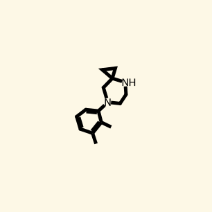 Cc1cccc(N2CCNC3(CC3)C2)c1C